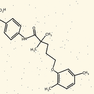 Cc1ccc(C)c(OCCCC(C)(C)C(=O)Nc2ccc(CC(=O)O)cc2)c1